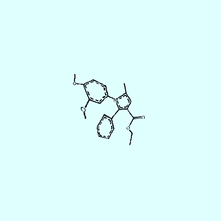 CCOC(=O)c1cc(C)n(-c2ccc(OC)c(OC)c2)c1-c1ccccc1